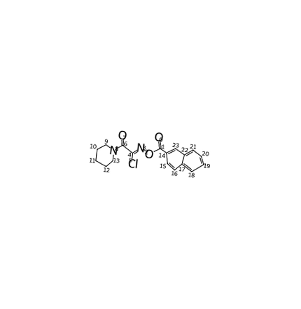 O=C(O/N=C(\Cl)C(=O)N1CCCCC1)c1ccc2ccccc2c1